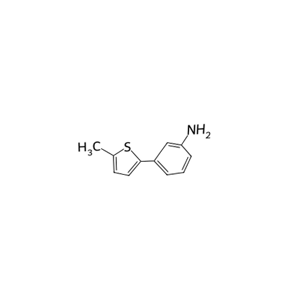 Cc1ccc(-c2cccc(N)c2)s1